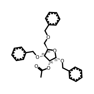 CC(=O)O[C@H]1[C@@H](OCc2ccccc2)O[C@H](COCc2ccccc2)[C@H]1OCc1ccccc1